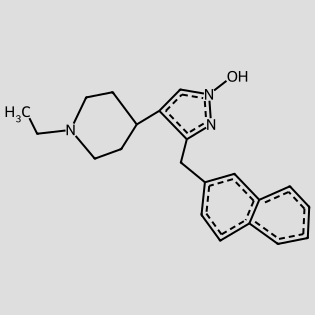 CCN1CCC(c2cn(O)nc2Cc2ccc3ccccc3c2)CC1